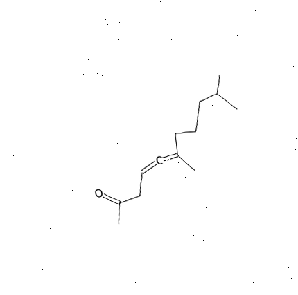 CC(=O)CC=C=C(C)CCCC(C)C